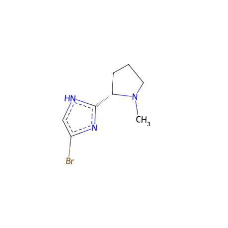 CN1CCC[C@H]1c1nc(Br)c[nH]1